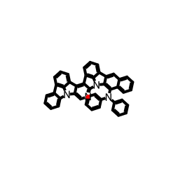 c1ccc(N(c2ccccc2)c2c3ccccc3cc3c4cccc5c6c7c8cccc9c%10ccccc%10n(c7cnc6n(c23)c45)c98)cc1